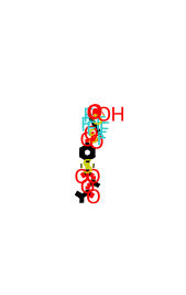 C=C(C)C(=O)OC(C)OC(=O)S(C)(C)c1ccc(OS(=O)(=O)C(F)(F)C(F)(F)C(F)(F)S(=O)(=O)O)cc1